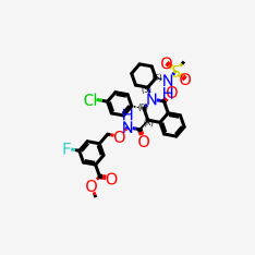 COC(=O)c1cc(F)cc(CONC(=O)[C@@H]2c3ccccc3C(=O)N([C@H]3CCCC[C@@H]3NS(C)(=O)=O)[C@H]2c2ccc(Cl)cc2)c1